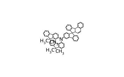 CC1(C)c2ccccc2-c2ccc(N(c3ccc4c(c3)-c3ccccc3C43c4ccccc4C4c5ccccc5C=CC43)c3cccc4c3-c3ccccc3C4(C)C)cc21